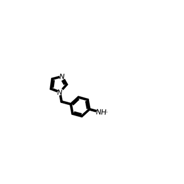 [NH]c1ccc(Cn2ccnc2)cc1